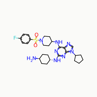 N[C@H]1CC[C@H](Nc2nc(NC3CCN(S(=O)(=O)c4ccc(F)cc4)CC3)c3ncn(C4CCCC4)c3n2)CC1